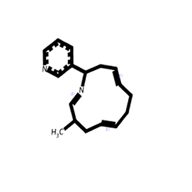 CC1/C=N/C(c2cccnc2)C/C=C/CC/C=C/C1